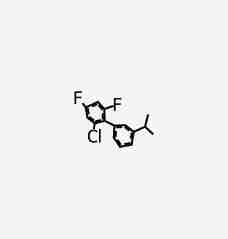 CC(C)c1cccc(-c2c(F)cc(F)cc2Cl)c1